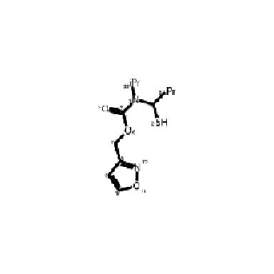 CC(C)C(S)N(C(=O)OCc1ccon1)C(C)C